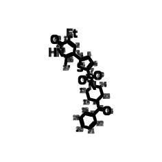 CCc1cc(-c2ccc(S(=O)(=O)N3CCC(C(=O)c4ccccc4)CC3)s2)c(C)[nH]c1=O